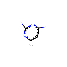 Nc1ccnc(N)n1.[NaH]